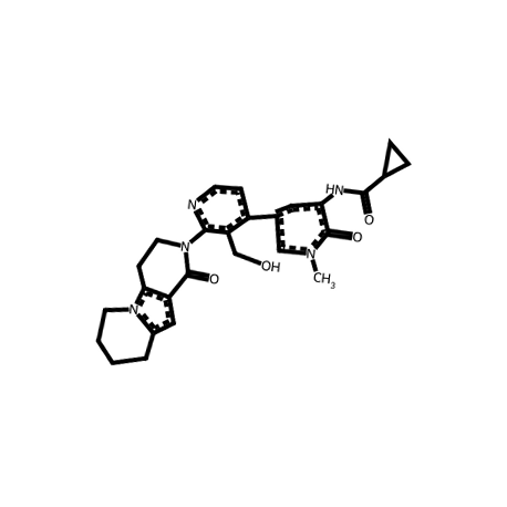 Cn1cc(-c2ccnc(N3CCc4c(cc5n4CCCC5)C3=O)c2CO)cc(NC(=O)C2CC2)c1=O